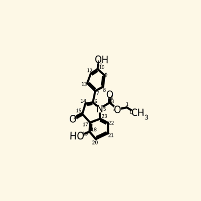 CCOC(=O)n1c(-c2ccc(O)cc2)cc(=O)c2c(O)cccc21